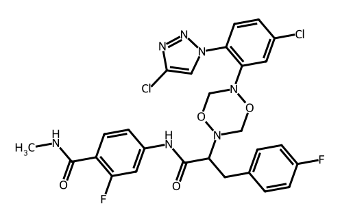 CNC(=O)c1ccc(NC(=O)C(Cc2ccc(F)cc2)N2CON(c3cc(Cl)ccc3-n3cc(Cl)nn3)CO2)cc1F